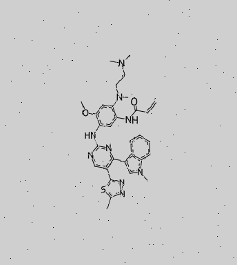 C=CC(=O)Nc1cc(Nc2ncc(-c3nnc(C)s3)c(-c3cn(C)c4ccccc34)n2)c(OC)cc1N(C)CCN(C)C